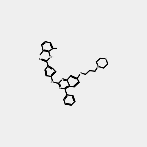 Cc1cccc(C)c1NC(=O)c1ccc(Nc2nc(-c3ccccc3)c3ccc(OCCCN4CCOCC4)cc3n2)cc1